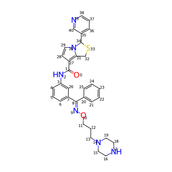 O=C(Nc1cccc(/C(=N/OCCCN2CCNCC2)c2ccccc2)c1)c1ccn2c1CSC2c1cccnc1